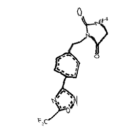 O=C1CNC(=O)N1Cc1ccc(-c2noc(C(F)(F)F)n2)cc1